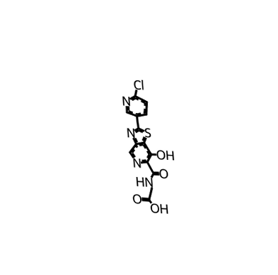 O=C(O)CNC(=O)c1ncc2nc(-c3ccc(Cl)nc3)sc2c1O